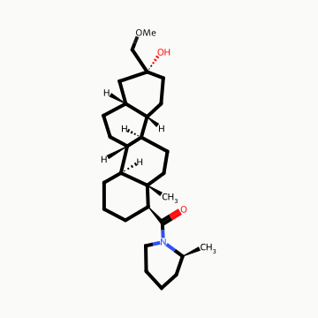 COC[C@@]1(O)CC[C@H]2[C@H](CC[C@@H]3[C@@H]2CC[C@]2(C)[C@@H](C(=O)N4CCCC[C@@H]4C)CCC[C@@H]32)C1